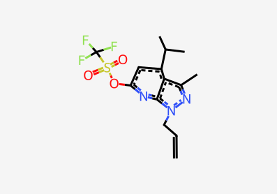 C=CCn1nc(C)c2c(C(C)C)cc(OS(=O)(=O)C(F)(F)F)nc21